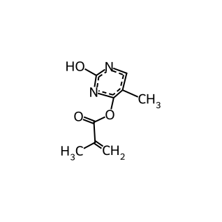 C=C(C)C(=O)Oc1nc(O)ncc1C